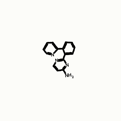 Nc1ccnc(-c2ccccc2-c2ccccn2)n1